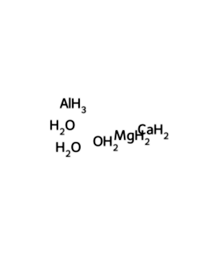 O.O.O.[AlH3].[CaH2].[MgH2]